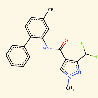 Cn1cc(C(=O)Nc2cc(C(F)(F)F)ccc2-c2ccccc2)c(C(F)F)n1